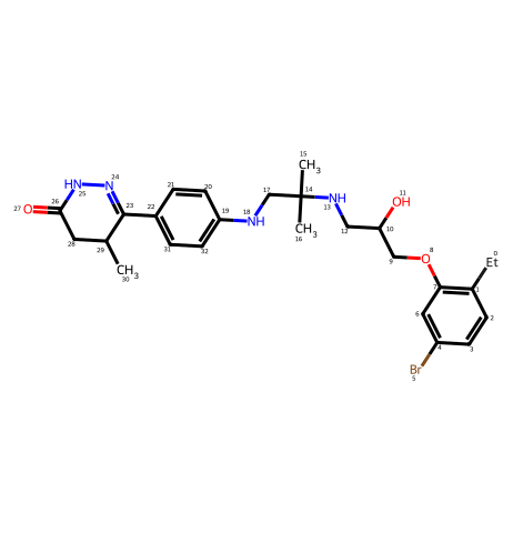 CCc1ccc(Br)cc1OCC(O)CNC(C)(C)CNc1ccc(C2=NNC(=O)CC2C)cc1